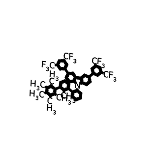 Cc1c(-c2ccccc2-n2c3ccc(-c4cc(C(F)(F)F)cc(C(F)(F)F)c4)cc3c3cc(-c4cc(C(F)(F)F)cc(C(F)(F)F)c4)ccc32)cccc1-c1c(C)c(C)c(C)c(C)c1C